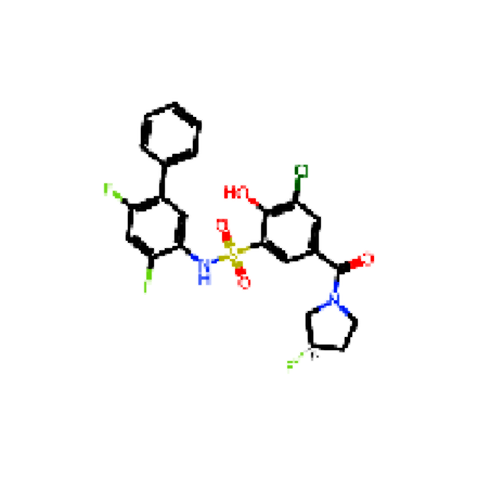 O=C(c1cc(Cl)c(O)c(S(=O)(=O)Nc2cc(-c3ccccc3)c(F)cc2F)c1)N1CC[C@H](F)C1